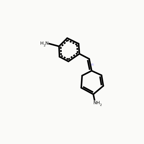 NC1=CC/C(=C\c2ccc(N)cc2)C=C1